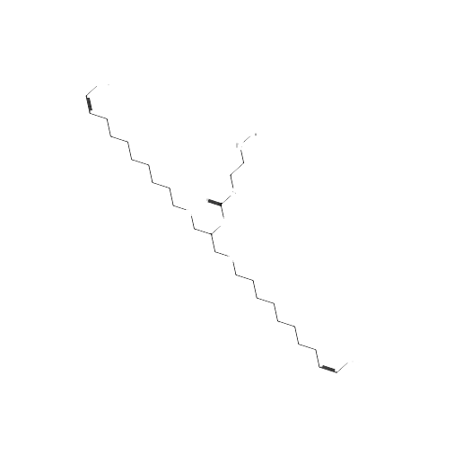 CCCCCCCC/C=C\CCCCCCCCOCC(COCCCCCCCC/C=C\CCCCCCCC)OC(=O)NCCNCCC